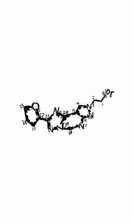 CC(C)CCn1cc2c(ncn3nc(-c4ccco4)nc23)n1